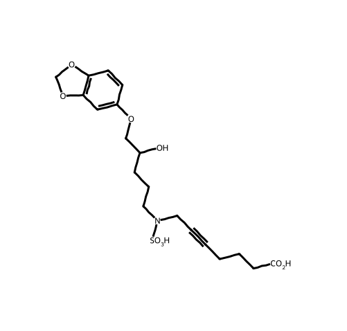 O=C(O)CCCC#CCN(CCCC(O)COc1ccc2c(c1)OCO2)S(=O)(=O)O